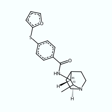 C[C@H]1[C@H](NC(=O)c2ccc(Sc3ccco3)cc2)C2CCN1CC2